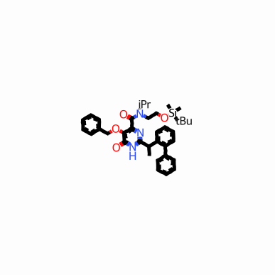 CC(c1nc(C(=O)N(CCO[Si](C)(C)C(C)(C)C)C(C)C)c(OCc2ccccc2)c(=O)[nH]1)c1ccccc1-c1ccccc1